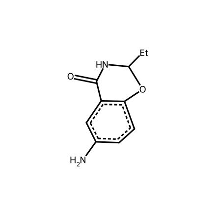 CCC1NC(=O)c2cc(N)ccc2O1